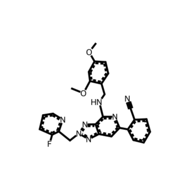 COc1ccc(CNc2nc(-c3ccccc3C#N)cc3nn(Cc4ncccc4F)nc23)c(OC)c1